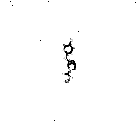 CC(C)(C)OC(=O)N1CC2CC(Oc3ccc(Cl)cn3)C1C2